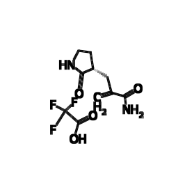 C=C(C[C@H]1CCNC1=O)C(N)=O.O=C(O)C(F)(F)F